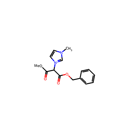 COC(=O)C(C(=O)OCc1ccccc1)[n+]1ccn(C)c1